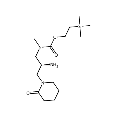 CN(C[C@@H](N)CN1CCCCC1=O)C(=O)OCC[Si](C)(C)C